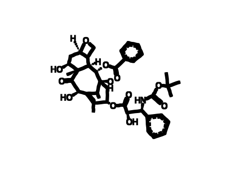 CC1=C2C(C)[C@@](O)(C[C@@H]1OC(=O)[C@H](O)[C@@H](NC(=O)OC(C)(C)C)c1ccccc1)[C@@H](OC(=O)c1ccccc1)[C@@H]1C3CO[C@@H]3C[C@H](O)[C@@]1(C)C(=O)[C@@H]2O